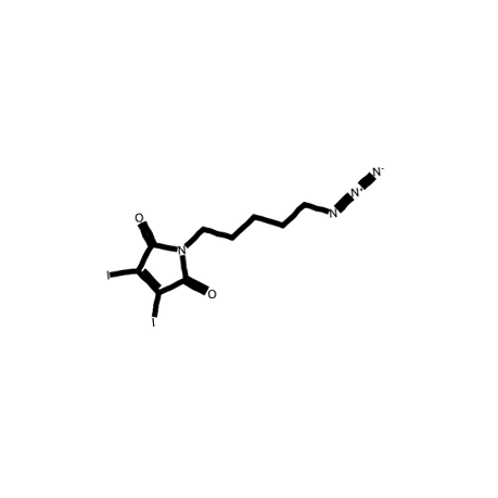 [N-]=[N+]=NCCCCCN1C(=O)C(I)=C(I)C1=O